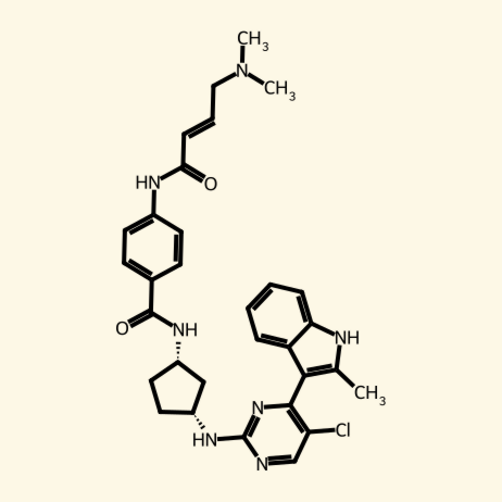 Cc1[nH]c2ccccc2c1-c1nc(N[C@@H]2CC[C@H](NC(=O)c3ccc(NC(=O)/C=C/CN(C)C)cc3)C2)ncc1Cl